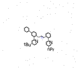 CCCc1ccc(-c2ccccc2/C=C/Cc2ccc(-c3ccccc3)cc2-c2cc(C(C)(C)C)ccn2)nc1